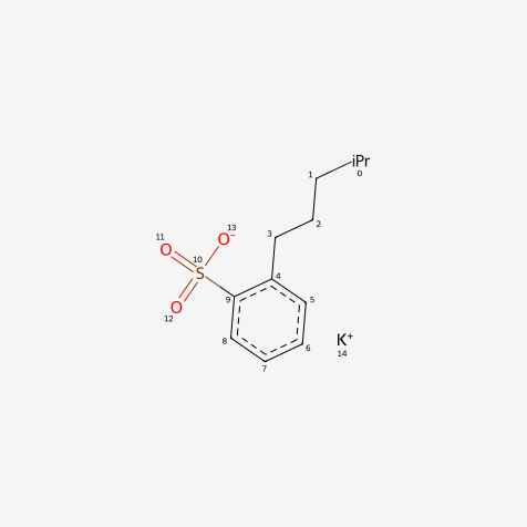 CC(C)CCCc1ccccc1S(=O)(=O)[O-].[K+]